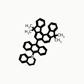 CC1(C)c2ccccc2-c2c1ccc1c(-c3c4ccccc4c(N4CCCc5ccccc54)c4ccccc34)cc3c(c21)-c1ccccc1C3(C)C